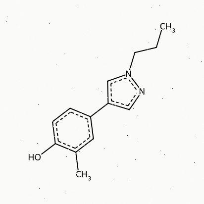 CCCn1cc(-c2ccc(O)c(C)c2)cn1